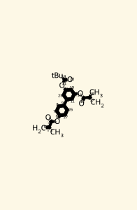 C=C(C)C(=O)Oc1ccc(-c2cc(OC(=O)C(=C)C)cc(OC(=O)C(C)(C)C)c2)cc1